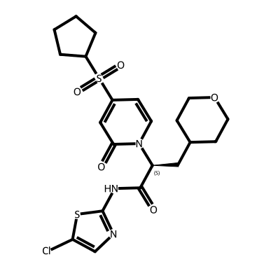 O=C(Nc1ncc(Cl)s1)[C@H](CC1CCOCC1)n1ccc(S(=O)(=O)C2CCCC2)cc1=O